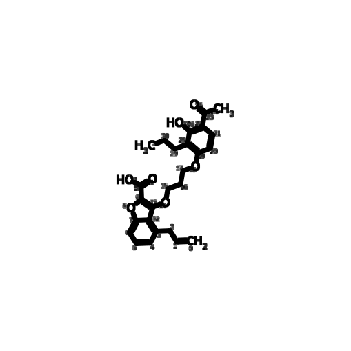 C=CCc1cccc2oc(C(=O)O)c(OCCCOc3ccc(C(C)=O)c(O)c3CCC)c12